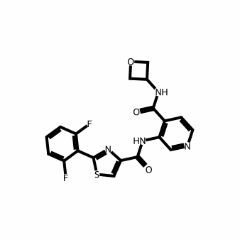 O=C(Nc1cnccc1C(=O)NC1COC1)c1csc(-c2c(F)cccc2F)n1